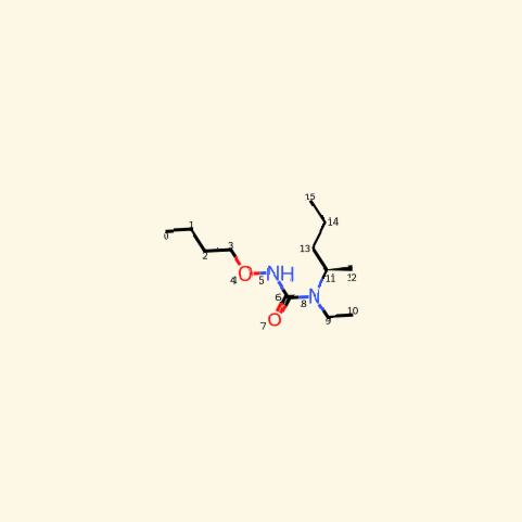 CCCCONC(=O)N(CC)[C@H](C)CCC